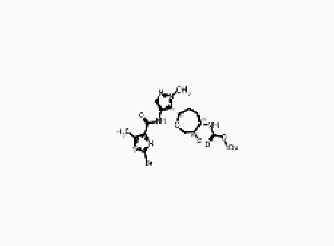 Cc1sc(Br)nc1C(=O)Nc1cnn(C)c1[C@@H]1CC[C@@H](NC(=O)OC(C)(C)C)[C@@H](F)CO1